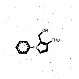 O=CC1=C(CO)[SH](c2ccccc2)C=C1